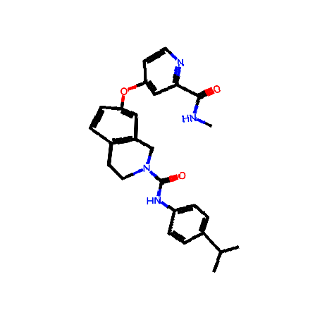 CNC(=O)c1cc(Oc2ccc3c(c2)CN(C(=O)Nc2ccc(C(C)C)cc2)CC3)ccn1